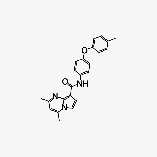 Cc1ccc(Oc2ccc(NC(=O)c3ccn4c(C)cc(C)nc34)cc2)cc1